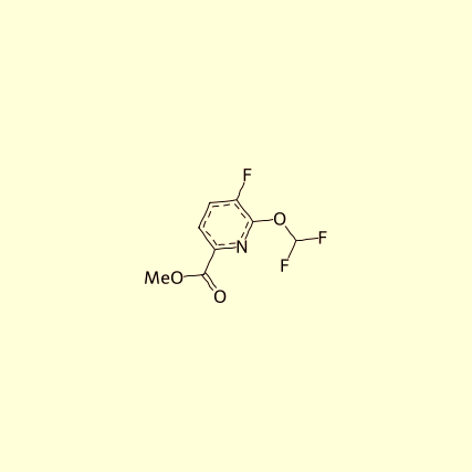 COC(=O)c1ccc(F)c(OC(F)F)n1